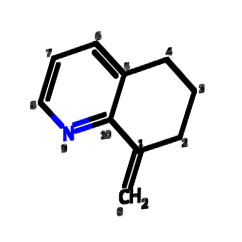 C=C1CCCc2cccnc21